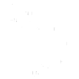 NS(=O)(=O)c1cc(CC2CCCC23NC(=O)NC3=O)c(F)c(F)c1F